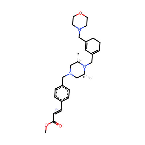 COC(=O)/C=C/c1ccc(CN2C[C@@H](C)N(CC3=CCCC(CN4CCOCC4)=C3)[C@@H](C)C2)cc1